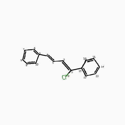 ClC(=CC=Cc1ccccc1)c1ccccc1